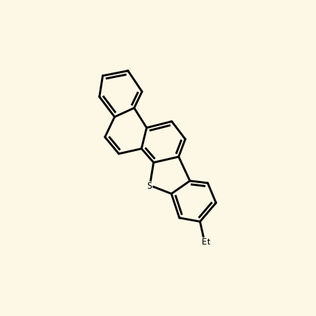 CCc1ccc2c(c1)sc1c2ccc2c3ccccc3ccc21